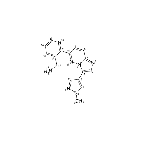 Cn1cc(-c2cnc3ccc(-c4ncccc4CN)nn23)cn1